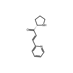 O=C(C=Cc1ccccn1)[C@@H]1CCCN1